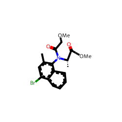 COCC(=O)N(c1c(C)cc(Br)c2ccccc12)[C@@H](C)C(=O)OC